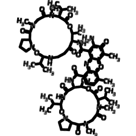 Cc1c2oc3c(C)ccc(C(=O)NC4C(=O)NC(C(C)C)ON5CCCC5C(=O)N(C)CC(=O)N(C)C(C(C)C)C(=O)OC4C)c3nc-2c(C(=O)NC2C(=O)CCNC(C(C)C)ON3CCCC3C(=O)N(C)CC(=O)N(C)C(C(C)C)C(=O)OC2C)c(N)c1=O